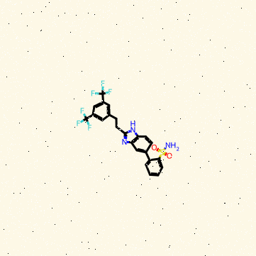 NS(=O)(=O)c1ccccc1-c1ccc2[nH]c(CCc3cc(C(F)(F)F)cc(C(F)(F)F)c3)nc2c1